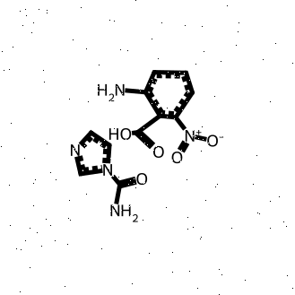 NC(=O)n1ccnc1.Nc1cccc([N+](=O)[O-])c1C(=O)O